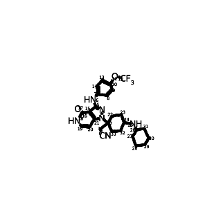 N#CCC1(n2nc(Nc3ccc(OC(F)(F)F)cc3)c3c(=O)[nH]ccc32)CCC(NC2CCCCC2)CC1